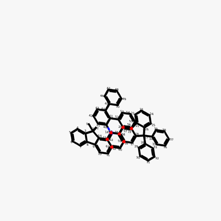 CC1(C)c2ccccc2-c2cccc(N(c3ccc4c(c3)-c3ccccc3C4(c3ccccc3)c3ccccc3)c3cccc(-c4ccccc4)c3-c3ccccc3-c3ccccc3)c21